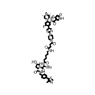 Cc1ncsc1-c1ccc(CNC(=O)[C@@H]2C[C@@H](O)CN2C(=O)C(NC(=O)CCCCCNC(=O)CCC(=O)N2CCN(c3ncc(-c4cc(NC(=O)c5c[nH]c(=O)cc5C(F)(F)F)c(N5C[C@@H](C)N(C)[C@@H](C)C5)cc4F)cn3)CC2)C(C)(C)C)cc1